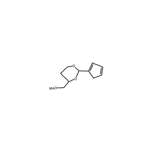 COCC1CCOC(C2=CC=CC2)O1